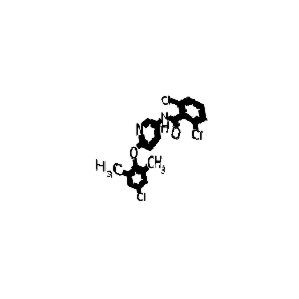 Cc1cc(Cl)cc(C)c1Oc1ccc(NC(=O)c2c(Cl)cccc2Cl)cn1